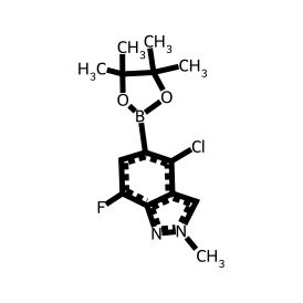 Cn1cc2c(Cl)c(B3OC(C)(C)C(C)(C)O3)cc(F)c2n1